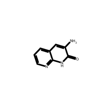 Nc1cc2cccnc2[nH]c1=O